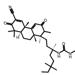 CCC(C)(C)CC[C@@](C)(CC[C@]1(C)C(C)C(=O)C=C2[C@@]3(C)C=C(C#N)C(=O)C(C)(C)[C@@H]3CC[C@]21C)NC(=O)NC